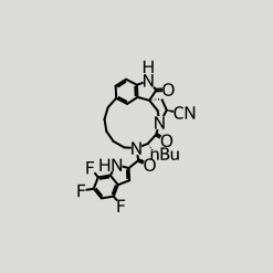 CCCC[C@H]1C(=O)N2C[C@]3(C[C@H]2C#N)C(=O)Nc2ccc(cc23)CCCCCN1C(=O)c1cc2c(F)cc(F)c(F)c2[nH]1